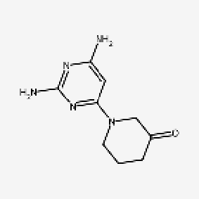 Nc1cc(N2CCCC(=O)C2)nc(N)n1